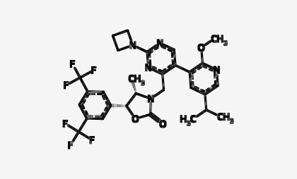 COc1ncc(C(C)C)cc1-c1cnc(N2CCC2)nc1CN1C(=O)O[C@H](c2cc(C(F)(F)F)cc(C(F)(F)F)c2)[C@@H]1C